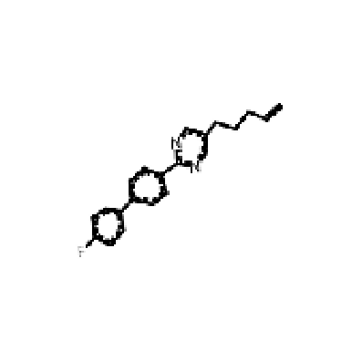 C=CCCCc1cnc(-c2ccc(-c3ccc(F)cc3)cc2)nc1